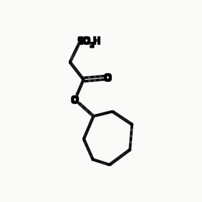 O=C(CS(=O)(=O)O)OC1CCCCCC1